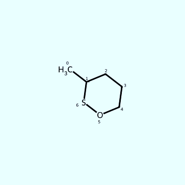 C[C]1CCCOS1